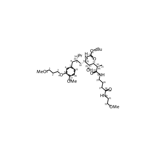 COCCCOc1cc(C[C@@H](C[C@H](NC(=O)OC(C)(C)C)[C@@H](O)C[C@@H](C)C(=O)NCCCC(=O)NCCOC)C(C)C)ccc1OC